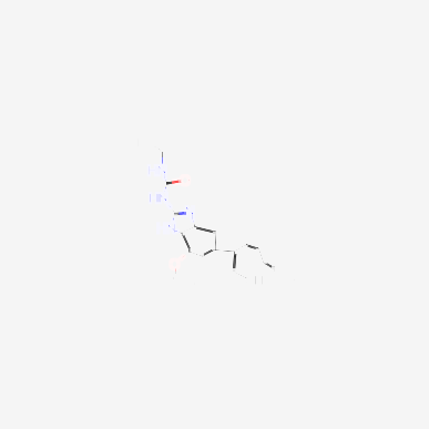 C=C/C=C\C(=C/C)c1cc(OC)c2[nH]c(NC(=O)NCC)nc2c1